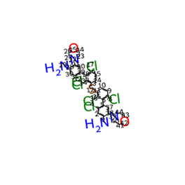 Nc1cc(Cl)c(-c2c(Cl)ccc(Sc3ccc(Cl)c(-c4cc(N5CCOCC5)c(N)cc4Cl)c3Cl)c2Cl)cc1N1CCOCC1